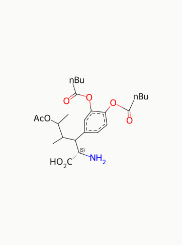 CCCCC(=O)Oc1ccc(C(C(C)C(C)OC(C)=O)[C@H](N)C(=O)O)cc1OC(=O)CCCC